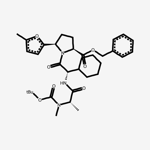 Cc1ccc([C@H]2CC[C@@H](C(=O)OCc3ccccc3)N2C(=O)[C@@H](NC(=O)[C@H](C)N(C)C(=O)OC(C)(C)C)C2CCCCC2)o1